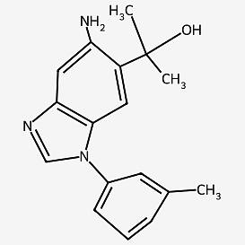 Cc1cccc(-n2cnc3cc(N)c(C(C)(C)O)cc32)c1